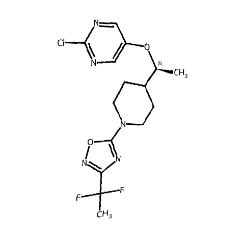 C[C@H](Oc1cnc(Cl)nc1)C1CCN(c2nc(C(C)(F)F)no2)CC1